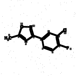 Cc1nc(-c2ccc(F)c(Cl)c2)no1